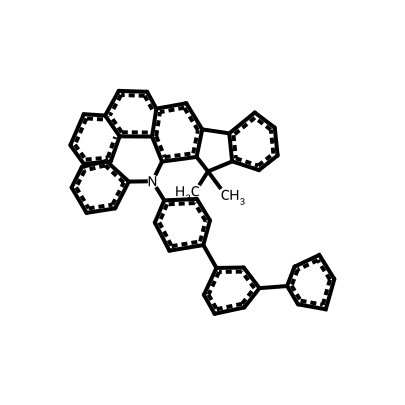 CC1(C)c2ccccc2-c2cc3ccc4ccccc4c3c(N(c3ccccc3)c3ccc(-c4cccc(-c5ccccc5)c4)cc3)c21